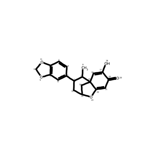 CC1C(c2ccc3c(c2)OCO3)CC2CC13C=C(O)C(=O)C=C3O2